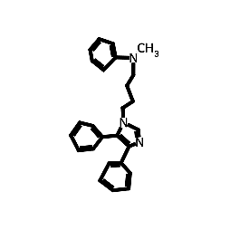 CN(CCCCn1cnc(-c2ccccc2)c1-c1ccccc1)c1ccccc1